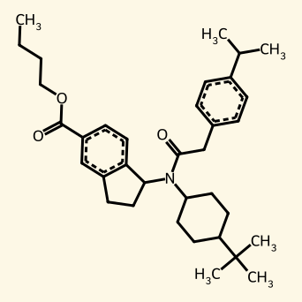 CCCCOC(=O)c1ccc2c(c1)CCC2N(C(=O)Cc1ccc(C(C)C)cc1)C1CCC(C(C)(C)C)CC1